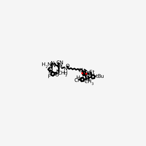 CCOc1cc(C(C)(C)C)ccc1C1=N[C@@](C)(c2ccc(Cl)cc2)[C@@](C)(c2ccc(Cl)cc2)N1C(=O)N1CCN(CCCCCCCCC(=O)NCCn2nc(C#N)c3c2CN(C)C(=O)c2ccc(F)cc2[C@H]2CCCN2c2nc-3cnc2N)CC1